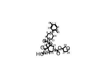 Cc1ccc(C)c(N2CCN(S(=O)(=O)CC3(C(=O)NO)CCN(C(=O)OC4CCOC4)CC3)CC2)c1